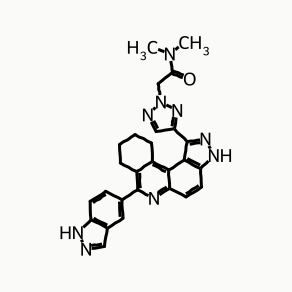 CN(C)C(=O)Cn1ncc(-c2n[nH]c3ccc4nc(-c5ccc6[nH]ncc6c5)c5c(c4c23)CCCC5)n1